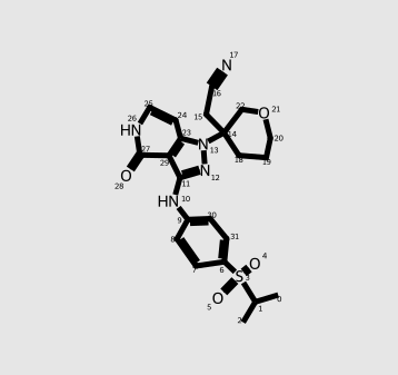 CC(C)S(=O)(=O)c1ccc(Nc2nn(C3(CC#N)CCCOC3)c3cc[nH]c(=O)c23)cc1